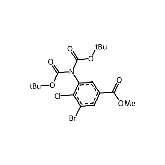 COC(=O)c1cc(Br)c(Cl)c(N(C(=O)OC(C)(C)C)C(=O)OC(C)(C)C)c1